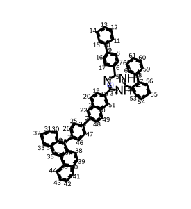 NC(N/C(=N\Cc1ccc(-c2ccccc2)cc1)c1ccc2cc(-c3ccc(-c4c5ccccc5cc5c4ccc4ccccc45)cc3)ccc2c1)c1ccccc1-c1ccccc1